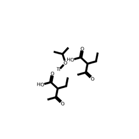 CC(C)[O][Ti].CCC(C(C)=O)C(=O)O.CCC(C(C)=O)C(=O)O